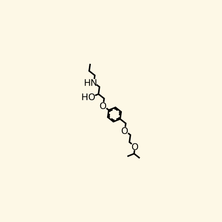 CCCNCC(O)COc1ccc(COCCOC(C)C)cc1